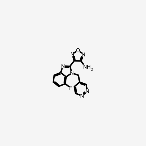 Nc1nonc1-c1nc2cccc(F)c2n1Cc1ccnnc1